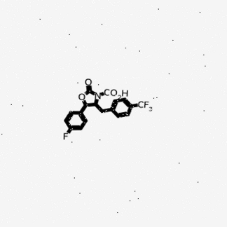 O=C(O)N1C(=O)OC(c2ccc(F)cc2)C1Cc1ccc(C(F)(F)F)cc1